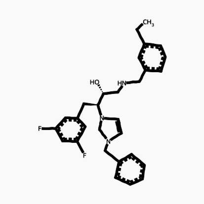 CCc1cccc(CNC[C@@H](O)[C@H](Cc2cc(F)cc(F)c2)N2C=CN(Cc3ccccc3)C2)c1